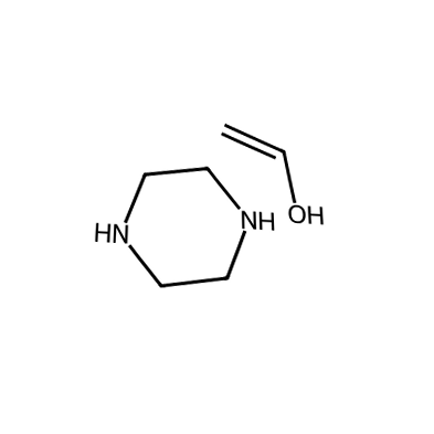 C1CNCCN1.C=CO